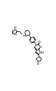 O=c1nc2[nH]c(C3CCNC3)cc2cn1-c1ccc([C@@H]2CCC[C@@H](CCc3ncc[nH]3)N2)cc1